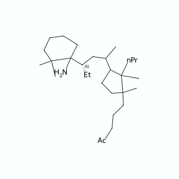 CCCC1(C)C(C(C)C[C@H](CC)C2(N)CCCCC2(C)C)CCC1(C)CCCC(C)=O